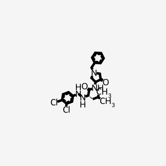 CC(C)C[C@H](NNc1ccc(Cl)c(Cl)c1)C(=O)NC1CN(Cc2ccccc2)CC1=O